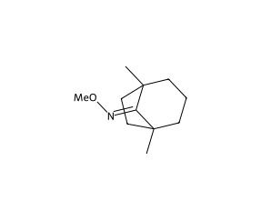 CON=C1C2(C)CCCC1(C)CC2